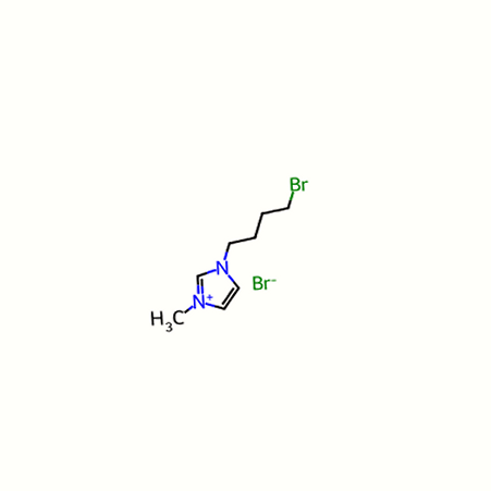 C[n+]1ccn(CCCCBr)c1.[Br-]